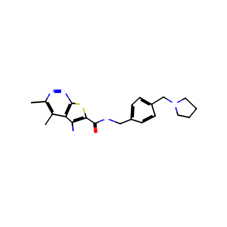 Cc1nnc2sc(C(=O)NCc3ccc(CN4CCCC4)cc3)c(N)c2c1C